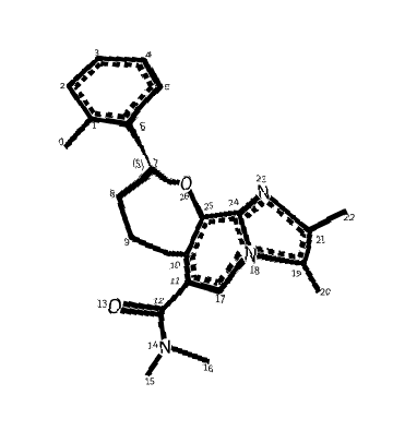 Cc1ccccc1[C@@H]1CCc2c(C(=O)N(C)C)cn3c(C)c(C)nc3c2O1